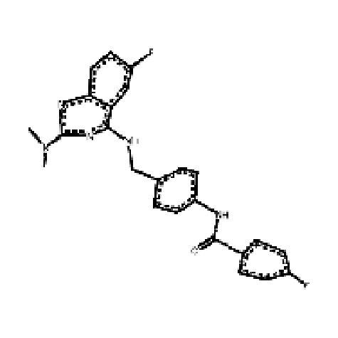 CN(C)c1nc(NCc2ccc(NC(=O)c3ccc(F)cc3)cc2)c2cc(F)ccc2n1